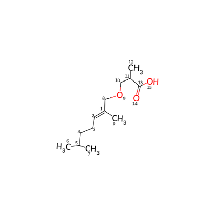 C/C(=C\CCC(C)C)COCC(C)C(=O)O